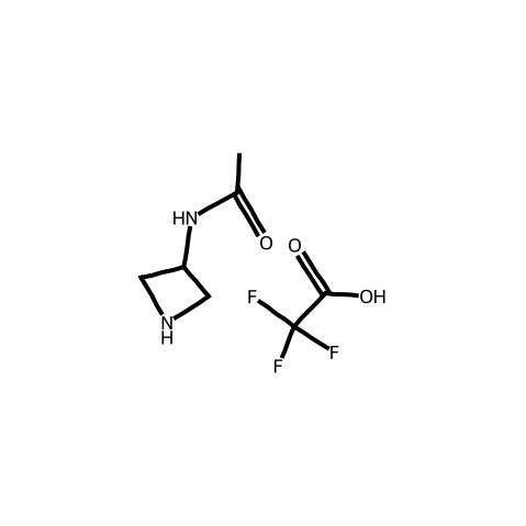 CC(=O)NC1CNC1.O=C(O)C(F)(F)F